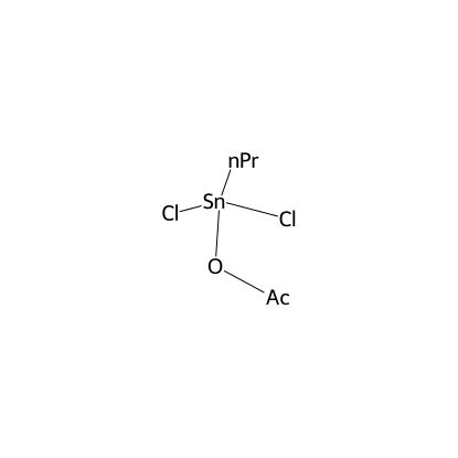 CC[CH2][Sn]([Cl])([Cl])[O]C(C)=O